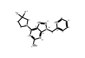 CC(C)(C)c1nc(N2CCC(F)(F)C2)c2nnn(Cc3ccccn3)c2n1